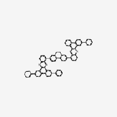 C1=CC(c2ccc3c4ccc(-c5ccccc5)cc4c4nc5c(-c6ccc7c(c6)CCc6cc(-c8cccc9nc%10c%11cc(-c%12ccccc%12)ccc%11c%11ccccc%11c%10nc89)ccc6-7)cccc5nc4c3c2)=CCC1